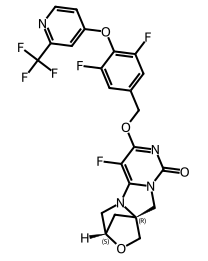 O=c1nc(OCc2cc(F)c(Oc3ccnc(C(F)(F)F)c3)c(F)c2)c(F)c2n1C[C@]13CO[C@H](CN21)C3